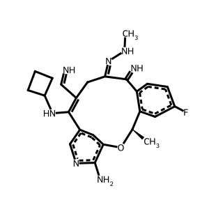 CN/N=C1/C/C(C=N)=C(/NC2CCC2)c2cnc(N)c(c2)O[C@H](C)c2cc(F)ccc2C1=N